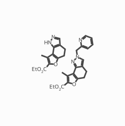 CCOC(=O)c1oc2c(c1C)-c1[nH]ncc1CC2.CCOC(=O)c1oc2c(c1C)-c1nn(Cc3ccccn3)cc1CC2